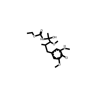 CCOC(=O)NC(C)(O)C(OC)C(C)Cc1cc(NC)c(Cl)c(OC)c1